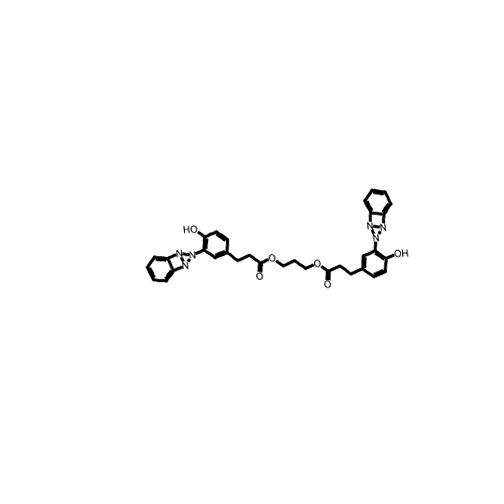 O=C(CCc1ccc(O)c(-n2n3c4ccccc4n23)c1)OCCCOC(=O)CCc1ccc(O)c(-n2n3c4ccccc4n23)c1